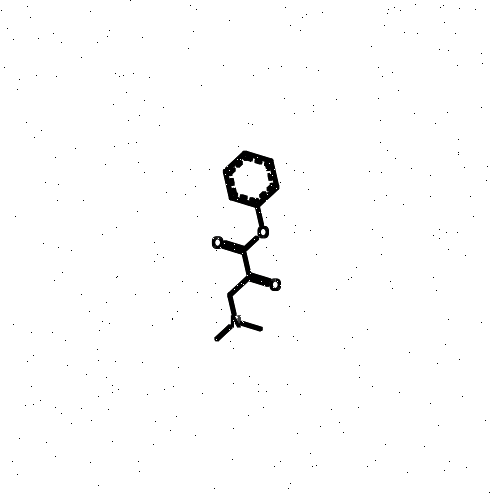 CN(C)CC(=O)C(=O)Oc1ccccc1